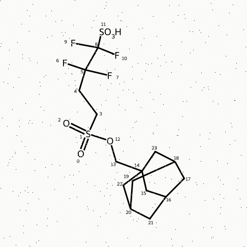 O=S(=O)(CCC(F)(F)C(F)(F)S(=O)(=O)O)OCC12CC3CC(CC(C3)C1)C2